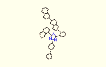 c1ccc(-c2ccc(-c3nc(-c4ccccc4-c4ccc5cc(-c6ccc7ccccc7c6)ccc5c4)nc(-c4cccc5ccccc45)n3)cc2)cc1